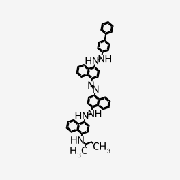 CCC(C)Nc1ccc(NNc2ccc(/N=N/c3ccc(NNc4ccc(-c5ccccc5)cc4)c4ccccc34)c3ccccc23)c2ccccc12